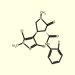 CN1C[C@H](c2c(Br)nn(C)c2Cl)[C@@H](C(=O)Nc2ccccc2F)C1=S